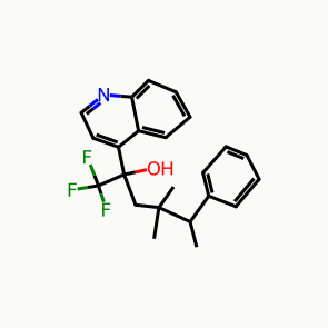 CC(c1ccccc1)C(C)(C)CC(O)(c1ccnc2ccccc12)C(F)(F)F